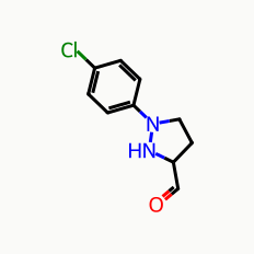 O=CC1CCN(c2ccc(Cl)cc2)N1